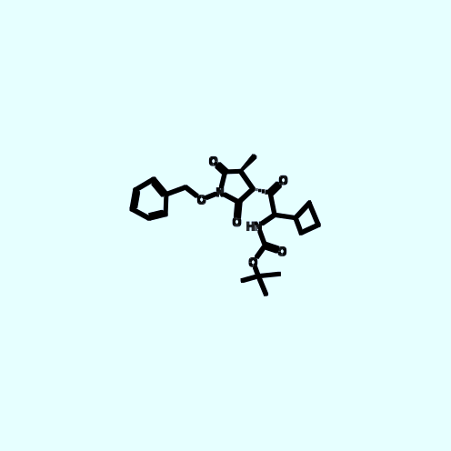 C[C@@H]1C(=O)N(OCc2ccccc2)C(=O)[C@H]1C(=O)C(NC(=O)OC(C)(C)C)C1CCC1